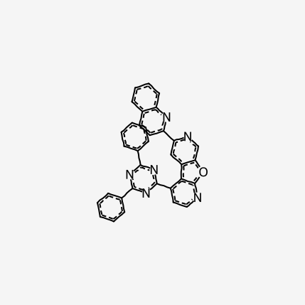 c1ccc(-c2nc(-c3ccccc3)nc(-c3ccnc4oc5cnc(-c6ccc7ccccc7n6)cc5c34)n2)cc1